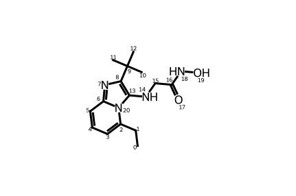 CCc1cccc2nc(C(C)(C)C)c(NCC(=O)NO)n12